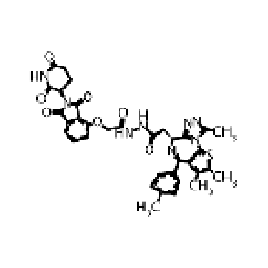 Cc1ccc(C2=N[C@@H](CC(=O)NNC(=O)COc3cccc4c3C(=O)N(C3CCC(=O)NC3=O)C4=O)c3nnc(C)n3-c3sc(C)c(C)c32)cc1